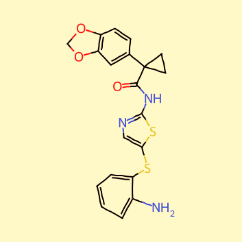 Nc1ccccc1Sc1cnc(NC(=O)C2(c3ccc4c(c3)OCO4)CC2)s1